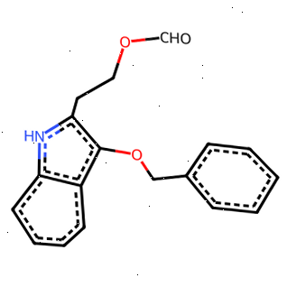 O=COCCc1[nH]c2ccccc2c1OCc1ccccc1